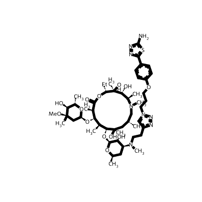 CC[C@H]1OC(=O)[C@H](C)[C@@H](O[C@H]2C[C@@](C)(OC)[C@@H](O)[C@H](C)O2)[C@H](C)[C@@H](O[C@@H]2O[C@H](C)C[C@H](N(C)CCc3cn(CCCOc4ccc(-c5nnc(N)s5)cc4)nn3)[C@H]2O)[C@](C)(O)C[C@@H](C)CN(C)[C@H](C)[C@@H](O)[C@]1(C)O